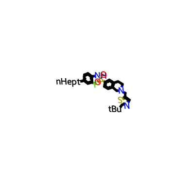 CCCCCCCc1ccc(NS(=O)(=O)c2ccc3c(c2)CCN(Cc2cnc(C(C)(C)C)s2)C3)c(F)c1